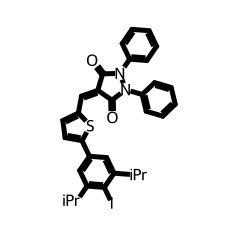 CC(C)c1cc(-c2ccc(C=C3C(=O)N(c4ccccc4)N(c4ccccc4)C3=O)s2)cc(C(C)C)c1I